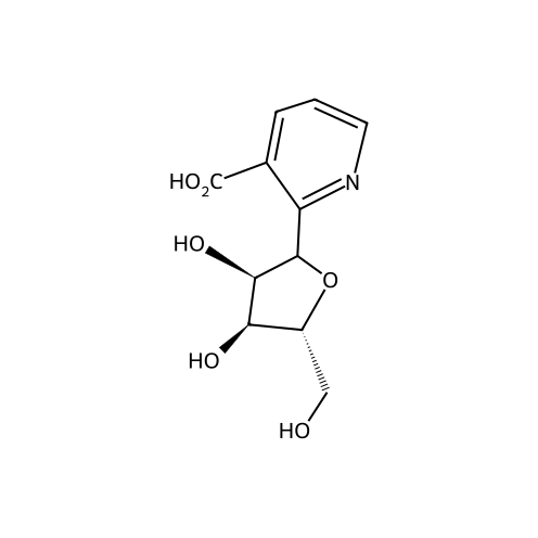 O=C(O)c1cccnc1C1O[C@H](CO)[C@@H](O)[C@H]1O